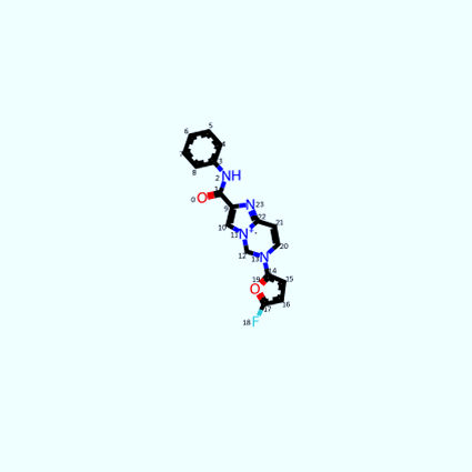 O=C(Nc1ccccc1)C1=C[N+]2CN(c3ccc(F)o3)C=CC2=N1